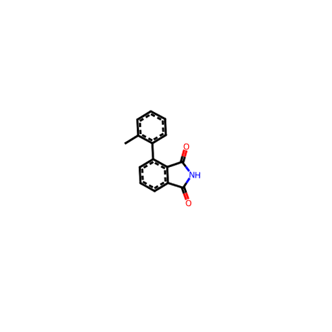 Cc1ccccc1-c1cccc2c1C(=O)NC2=O